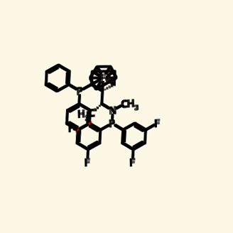 C[C@@H](N(C)P(c1cc(F)cc(F)c1)c1cc(F)cc(F)c1)[C@@]12[CH]3[CH]4[CH]5[C]1(P(c1ccccc1)c1ccccc1)[Fe]45321678[CH]2[CH]1[CH]6[CH]7[CH]28